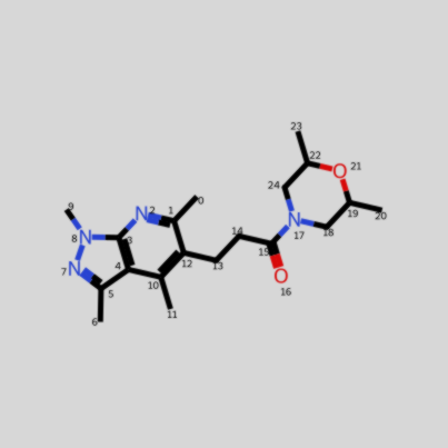 Cc1nc2c(c(C)nn2C)c(C)c1CCC(=O)N1CC(C)OC(C)C1